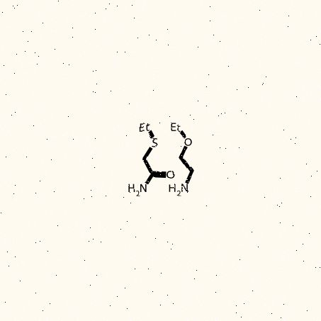 CCOCCN.CCSCC(N)=O